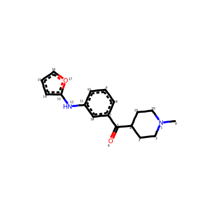 CN1CCC(C(=O)c2cccc(Nc3ccco3)c2)CC1